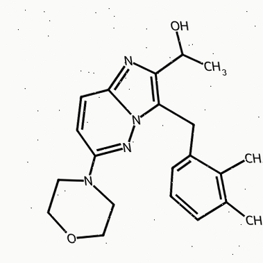 Cc1cccc(Cc2c(C(C)O)nc3ccc(N4CCOCC4)nn23)c1C